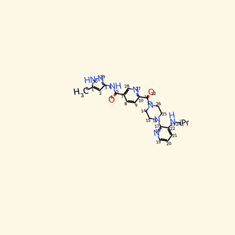 Cc1cc(NC(=O)c2ccc(C(=O)N3CCN(c4ncccc4NC(C)C)CC3)nc2)n[nH]1